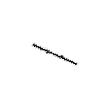 CCCCCCCCCCCCCCC(=O)OCCCCCCCCCCOC(=O)CCCCCCCCCCCCCC